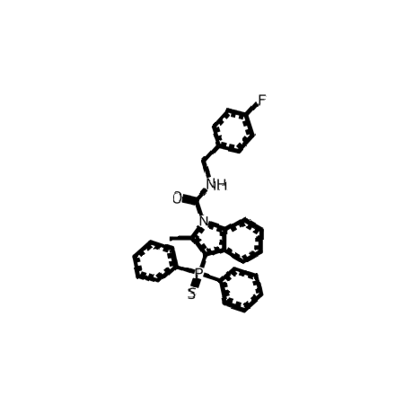 Cc1c(P(=S)(c2ccccc2)c2ccccc2)c2ccccc2n1C(=O)NCc1ccc(F)cc1